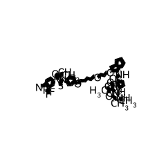 CN[C@@H](C)C(=O)NC(C(=O)N1CCC[C@H]1C(=O)N[C@H]1c2ccccc2C[C@H]1OCCCOCCCCCOc1ccc(N2C(=S)N(c3ccc(C#N)c(C(F)(F)F)c3)C(=O)C2(C)C)cc1)C(C)(C)C